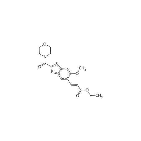 CCOC(=O)/C=C/c1cc2cc(C(=O)N3CCOCC3)sc2cc1OC